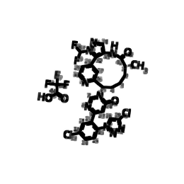 C[C@@H]1CCC[C@H](n2cnc(-c3cc(Cl)ccc3-n3cc(Cl)nn3)cc2=O)c2cc(ccn2)-c2c(cnn2C(F)F)NC1=O.O=C(O)C(F)(F)F